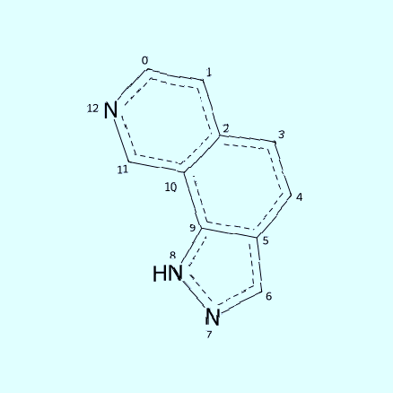 c1cc2ccc3cn[nH]c3c2cn1